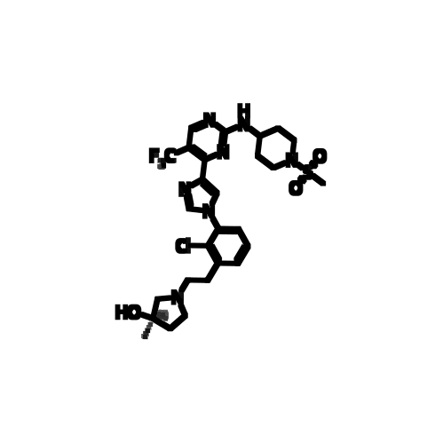 C[C@@]1(O)CCN(CCc2cccc(-n3cnc(-c4nc(NC5CCN(S(C)(=O)=O)CC5)ncc4C(F)(F)F)c3)c2Cl)C1